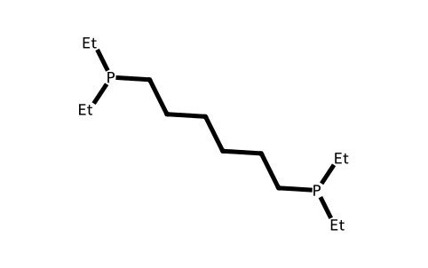 CCP(CC)CCCCCCP(CC)CC